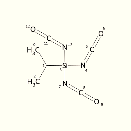 CC(C)[Si](N=C=O)(N=C=O)N=C=O